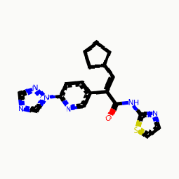 O=C(Nc1nccs1)/C(=C/C1CCCC1)c1ccc(-n2cncn2)nc1